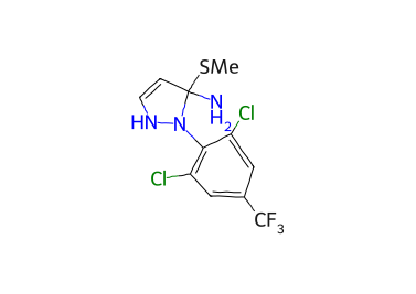 CSC1(N)C=CNN1c1c(Cl)cc(C(F)(F)F)cc1Cl